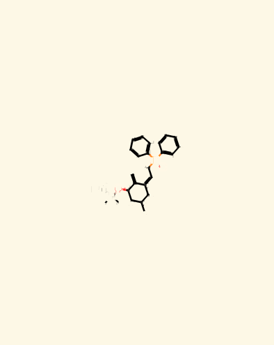 C=C1/C(=C\CP(=O)(c2ccccc2)c2ccccc2)CC(C)CC1O[Si](C)(C)C(C)(C)C